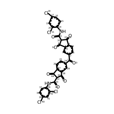 O=C(c1ccc2c(c1)C(=O)C(C(=O)Nc1ccc(Cl)cc1Cl)C2=O)c1ccc2c(c1)C(=O)C(C(=O)Nc1ccc(Cl)cc1Cl)C2=O